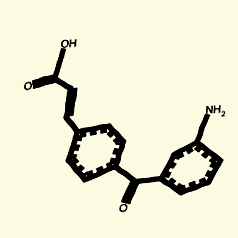 Nc1cccc(C(=O)c2ccc(C=CC(=O)O)cc2)c1